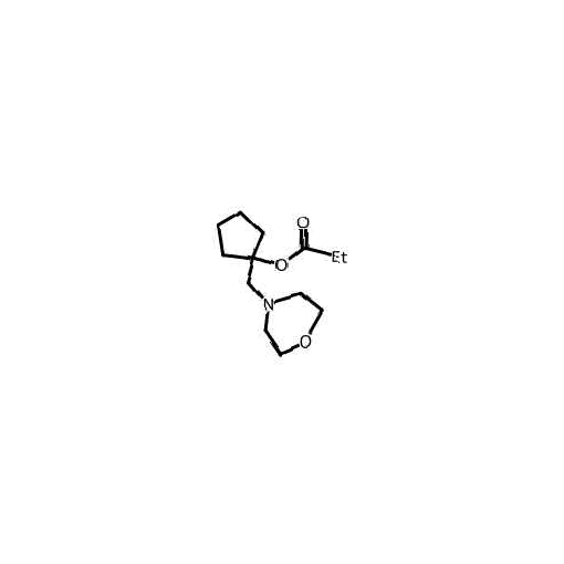 CCC(=O)OC1(CN2CCOCC2)CCCC1